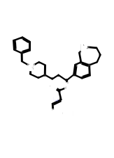 O=C(O)/C=C/C(=O)OC(CCC1CCN(Cc2ccccc2)CC1)c1ccc2c(c1)CNCCC2